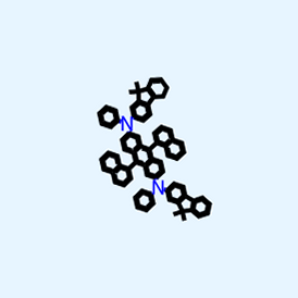 CC1(C)C2=C(CCC=C2)c2ccc(N(c3ccccc3)c3ccc4c(-c5cccc6ccccc56)c5cc(N(c6ccccc6)c6ccc7c(c6)C(C)(C)c6ccccc6-7)ccc5c(-c5cccc6ccccc56)c4c3)cc21